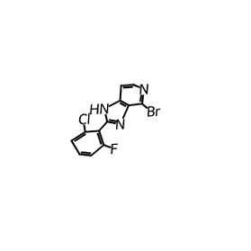 Fc1cccc(Cl)c1-c1nc2c(Br)nccc2[nH]1